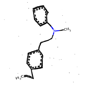 C=Cc1ccc(CCN(C)c2ccccc2)cc1